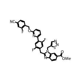 COC(=O)c1ccc2nc(Cc3cc(F)c(-c4cccc(OCc5ccc(C#N)cc5F)n4)cc3F)n(Cc3cnns3)c2c1